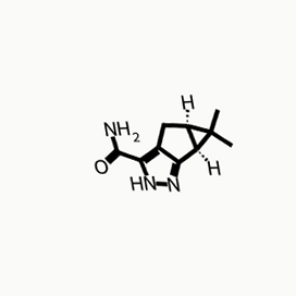 CC1(C)[C@@H]2Cc3c(n[nH]c3C(N)=O)[C@@H]21